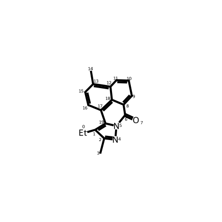 CCc1c(C)nn2c(=O)c3cccc4c(C)ccc(c43)c12